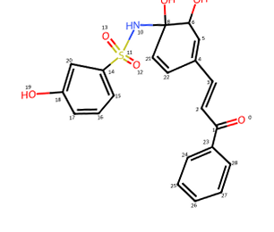 O=C(C=CC1=CC(O)C(O)(NS(=O)(=O)c2cccc(O)c2)C=C1)c1ccccc1